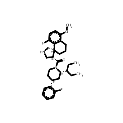 CCC(CC)[C@@H]1C[C@H](c2ccccc2F)CCN1C(=O)[C@@H]1CNC[C@]12CCCc1c(OC)ccc(F)c12